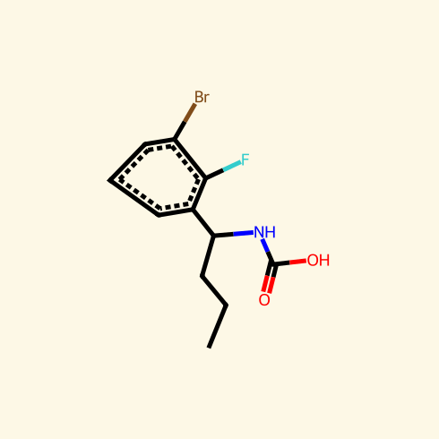 CCCC(NC(=O)O)c1cccc(Br)c1F